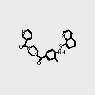 Cc1cc(C(=O)N2CCN(C(=O)c3cccnc3)CC2)ccc1NSc1cccc2cccnc12